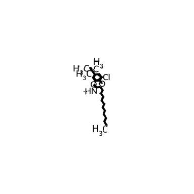 CCCCCCCCCCCCC(Oc1ccc(C(C)(C)CC)cc1Cl)C([NH])=O